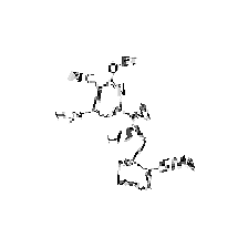 CCOc1nc(C(=O)NCc2ccccc2SC)cc(N)c1C#N